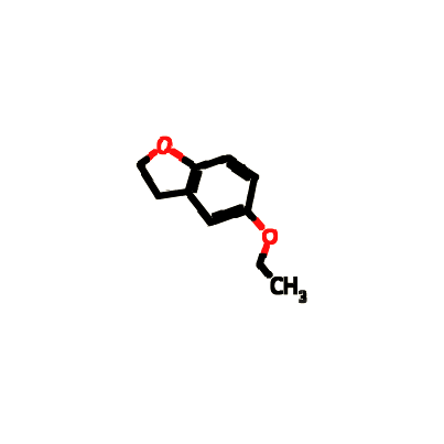 CCOc1ccc2c(c1)CCO2